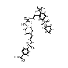 O=C(O)c1ccc(S(=O)(=O)CC=CN2CCC(NS(=O)(=O)CC=Cc3cc(S(=O)(=O)c4ccccc4)ccc3C(F)(F)F)CC2)cc1